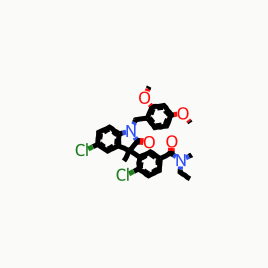 CCN(C)C(=O)c1ccc(Cl)c(C2(C)C(=O)N(Cc3ccc(OC)cc3OC)c3ccc(Cl)cc32)c1